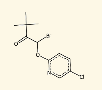 CC(C)(C)C(=O)C(Br)Oc1ccc(Cl)cn1